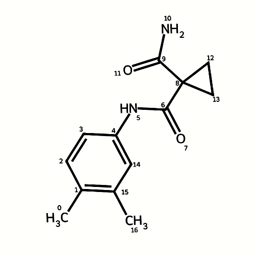 Cc1ccc(NC(=O)C2(C(N)=O)CC2)cc1C